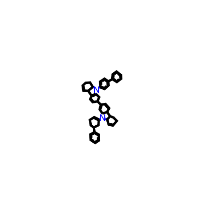 C1=CC2C(CC1)C1C=CC(C3C=CC4=C(C3)N(c3ccc(-c5ccccc5)cc3)C3CCC=CC43)=CC1N2C1=CCCC(c2ccccc2)C1